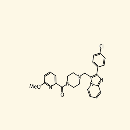 COc1cccc(C(=O)N2CCN(Cc3c(-c4ccc(Cl)cc4)nc4ccccn34)CC2)n1